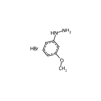 Br.COc1cccc(NN)c1